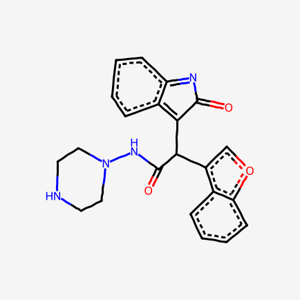 O=C1N=c2ccccc2=C1C(C(=O)NN1CCNCC1)c1coc2ccccc12